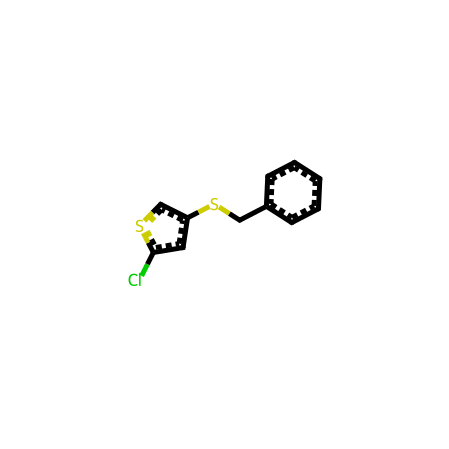 Clc1cc(SCc2ccccc2)cs1